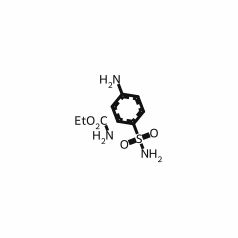 CCOC(N)=O.Nc1ccc(S(N)(=O)=O)cc1